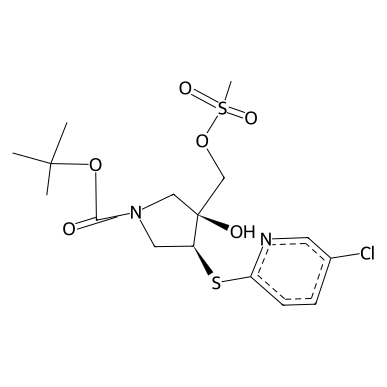 CC(C)(C)OC(=O)N1C[C@H](Sc2ccc(Cl)cn2)[C@@](O)(COS(C)(=O)=O)C1